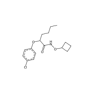 CCCCC(Oc1ccc(Cl)cc1)C(=O)NOC1CCC1